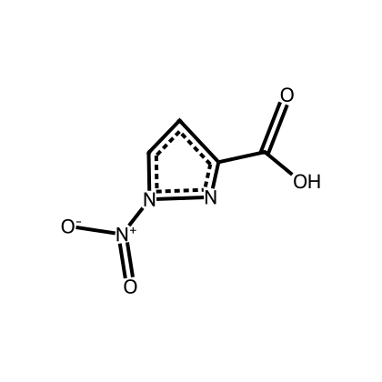 O=C(O)c1ccn([N+](=O)[O-])n1